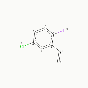 C=[C]c1cc(Cl)ccc1I